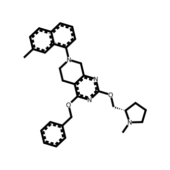 Cc1ccc2cccc(N3CCc4c(nc(OC[C@@H]5CCCN5C)nc4OCc4ccccc4)C3)c2c1